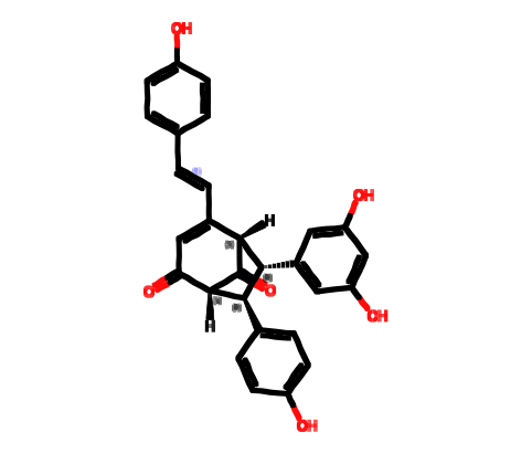 O=C1C=C(/C=C/c2ccc(O)cc2)[C@H]2C(=O)[C@@H]1[C@H](c1ccc(O)cc1)[C@H]2c1cc(O)cc(O)c1